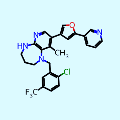 Cc1c(-c2coc(-c3cccnc3)c2)cnc2c1N(Cc1cc(C(F)(F)F)ccc1Cl)CCCN2